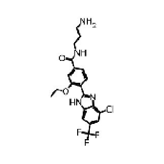 CCOc1cc(C(=O)NCCCN)ccc1-c1nc2c(Cl)cc(C(F)(F)F)cc2[nH]1